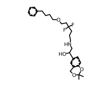 CC1(C)OCc2cc(C(O)CNCCCC(F)(F)CCOCCCCc3ccccc3)ccc2O1